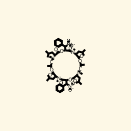 CC(C)CC1C(=O)OC(C(c2ccccc2)[N+](=O)[O-])C(=O)N(C)C(CC(C)C)C(=O)OC(C)CN(C)C(CC(C)C)C(=O)OC(C(c2ccccc2)[N+](=O)[O-])C(=O)N(C)C(CC(C)C)C(=O)OC(C)CN1C